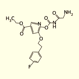 CCOC(=O)c1cnc(OC(=O)NC(=O)CN)c(OCCc2ccc(F)cc2)c1